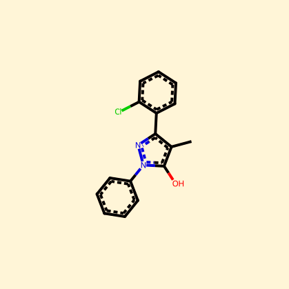 Cc1c(-c2ccccc2Cl)nn(-c2ccccc2)c1O